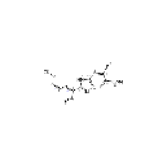 C=C/C(=C\C=C/CCl)c1nc2cc(OC)c(F)cc2[nH]1